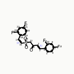 O=C(/C=C/c1ccc(F)cc1F)CS(=O)(=O)/C=C\c1ccc(F)cc1F